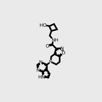 O=C(NCC1CCC1O)c1noc2c1CN(c1ncnc3[nH]ccc13)CC2